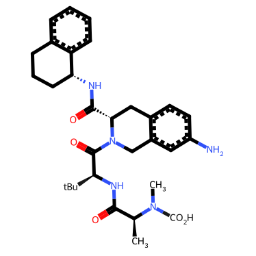 C[C@@H](C(=O)N[C@H](C(=O)N1Cc2cc(N)ccc2C[C@H]1C(=O)N[C@@H]1CCCc2ccccc21)C(C)(C)C)N(C)C(=O)O